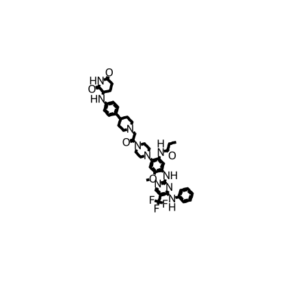 CCC(=O)Nc1cc(Nc2ncc(C(F)(F)F)c(Nc3ccccc3)n2)c(OC)cc1N1CCN(C(=O)CN2CCC(c3ccc(NC4CCC(=O)NC4=O)cc3)CC2)CC1